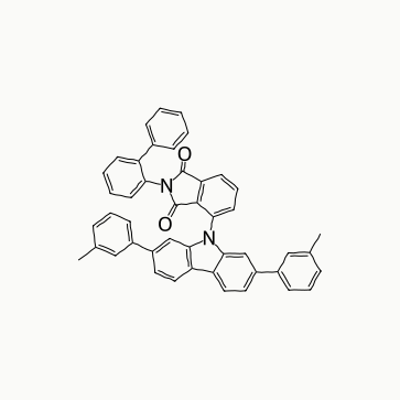 Cc1cccc(-c2ccc3c4ccc(-c5cccc(C)c5)cc4n(-c4cccc5c4C(=O)N(c4ccccc4-c4ccccc4)C5=O)c3c2)c1